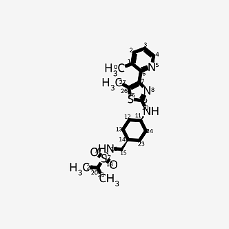 Cc1cccnc1-c1nc(N[C@H]2CC[C@H](CNS(=O)(=O)C(C)C)CC2)sc1C